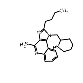 CCCCc1nc2c(N)nc3ccccc3c2n1CC1CCCCN1